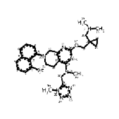 CCc1cccc2cccc(N3CCc4c(nc(OCC5(CN(C)C)CC5)nc4N(C)Cc4nnnn4C)C3)c12